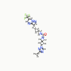 O=C(N1CC2(CC(Cc3cnn4cc(C(F)(F)F)cnc34)C2)C1)N1CC2(CC(n3cnc(C4CC4)n3)C2)C1